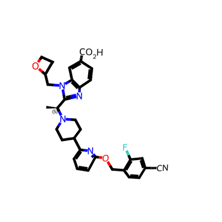 C[C@@H](c1nc2ccc(C(=O)O)cc2n1CC1CCO1)N1CCC(c2cccc(OCc3ccc(C#N)cc3F)n2)CC1